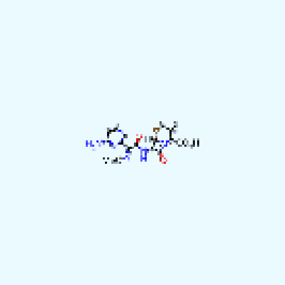 CON=C(C(=O)NC1C(=O)N2C(C(=O)O)=C(C)CS[C@@H]12)c1nccc(N)n1